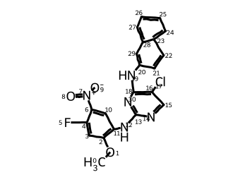 COc1cc(F)c([N+](=O)[O-])cc1Nc1ncc(Cl)c(Nc2ccc3ccccc3c2)n1